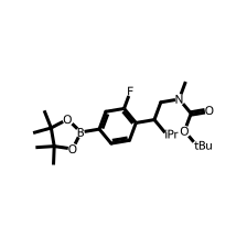 CC(C)C(CN(C)C(=O)OC(C)(C)C)c1ccc(B2OC(C)(C)C(C)(C)O2)cc1F